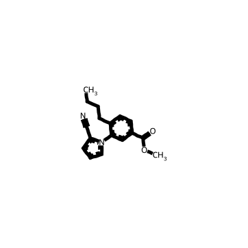 CCCCc1ccc(C(=O)OC)cc1-n1cccc1C#N